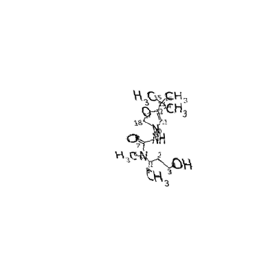 CC(CCO)N(C)C(=O)NN1C=C(C(C)(C)C)OC1